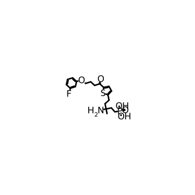 CC(N)(CCc1ccc(C(=O)CCCOc2cccc(F)c2)s1)CCP(=O)(O)O